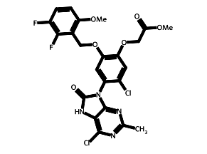 COC(=O)COc1cc(Cl)c(-n2c(=O)[nH]c3c(Cl)nc(C)nc32)cc1OCc1c(OC)ccc(F)c1F